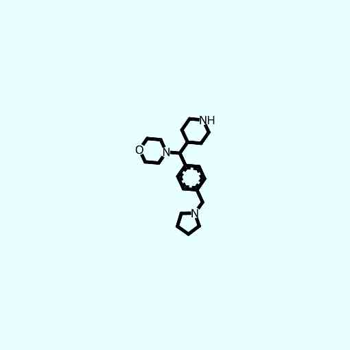 c1cc(C(C2CCNCC2)N2CCOCC2)ccc1CN1CCCC1